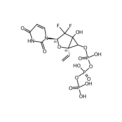 C=C[C@]12O[C@@H](n3ccc(=O)[nH]c3=O)C(F)(F)C1(O)C2OP(=O)(O)OP(=O)(O)OP(=O)(O)O